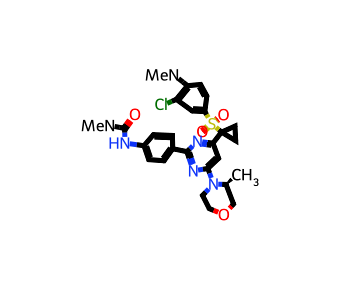 CNC(=O)Nc1ccc(-c2nc(N3CCOC[C@@H]3C)cc(C3(S(=O)(=O)c4ccc(NC)c(Cl)c4)CC3)n2)cc1